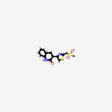 CS(=O)(=O)Cc1nc(-c2cc3ccccc3[nH]c2=O)cs1